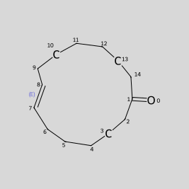 O=C1CCCCC/C=C/CCCCCC1